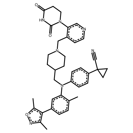 Cc1ccc(-c2c(C)noc2C)cc1N(CC1CCN(Cc2ccncc2N2CCC(=O)NC2=O)CC1)c1ccc(C2(C#N)CC2)cc1